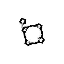 C1=Cc2cc3ccc(cc4nc(cc5ccc(cc1n2)[nH]5)C=C4)[nH]3.c1cc[nH]c1